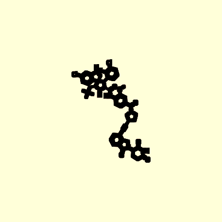 COc1cc(C(=O)N2CC[C@@H](C#Cc3cccc4c3CN(C3CCC(=O)NC3=O)C4=O)C2)ccc1NC(=O)[C@@H]1N[C@@H](CC(C)(C)C)[C@@]2(CNc3cc(Cl)ccc32)[C@H]1c1cccc(Cl)c1F